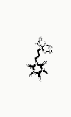 CCO[Si](CCCn1c(=O)n(C)c(=O)n(C)c1=O)(OCC)OCC